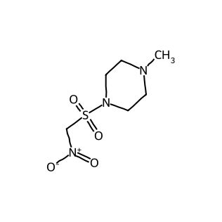 CN1CCN(S(=O)(=O)C[N+](=O)[O-])CC1